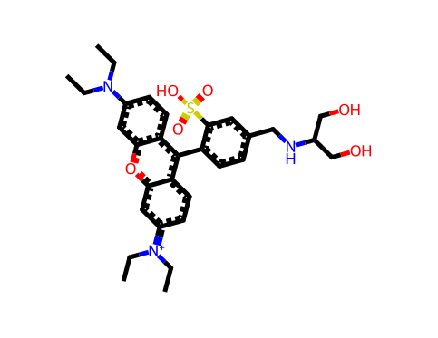 CCN(CC)c1ccc2c(-c3ccc(CNC(CO)CO)cc3S(=O)(=O)O)c3ccc(=[N+](CC)CC)cc-3oc2c1